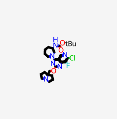 CC(C)(C)OC(=O)N[C@@H]1CCCCN(c2nc(OCC34CCCN3CCC4)nc3c(F)c(Cl)ncc23)C1